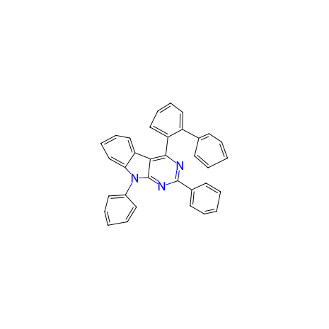 c1ccc(-c2nc(-c3ccccc3-c3ccccc3)c3c4ccccc4n(-c4ccccc4)c3n2)cc1